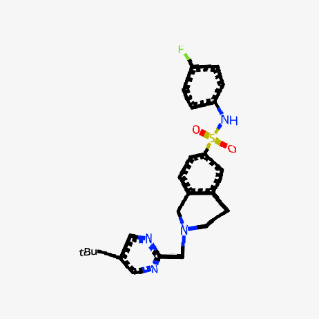 CC(C)(C)c1cnc(CN2CCc3cc(S(=O)(=O)Nc4ccc(F)cc4)ccc3C2)nc1